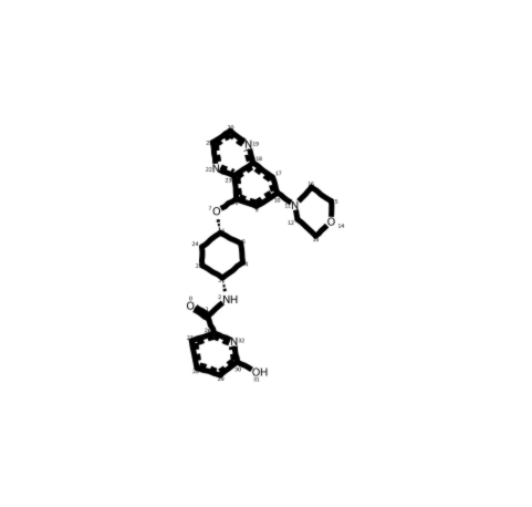 O=C(N[C@H]1CC[C@@H](Oc2cc(N3CCOCC3)cc3nccnc23)CC1)c1cccc(O)n1